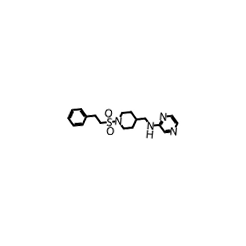 O=S(=O)(CCc1ccccc1)N1CCC(CNc2cnccn2)CC1